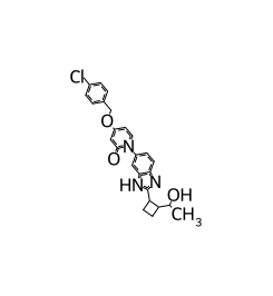 CC(O)C1CCC1c1nc2ccc(-n3ccc(OCc4ccc(Cl)cc4)cc3=O)cc2[nH]1